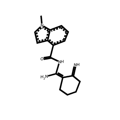 Cn1ccc2c(C(=O)N/C(N)=C3/CCCCC3=N)cccc21